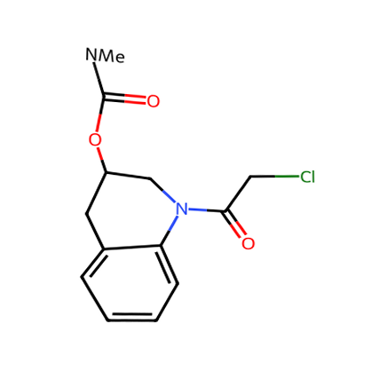 CNC(=O)OC1Cc2ccccc2N(C(=O)CCl)C1